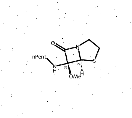 CCCCCN[C@]1(OC)C(=O)N2CCS[C@H]21